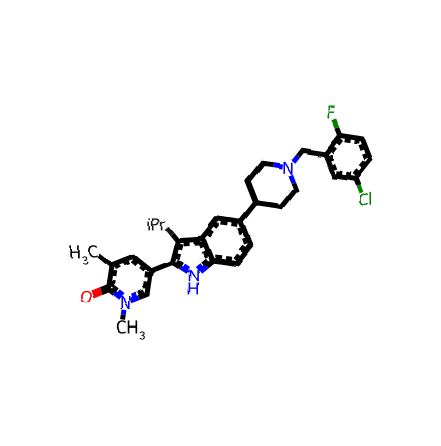 Cc1cc(-c2[nH]c3ccc(C4CCN(Cc5cc(Cl)ccc5F)CC4)cc3c2C(C)C)cn(C)c1=O